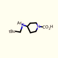 CC(=O)N(CC(C)(C)C)C1CCN(C(=O)O)CC1